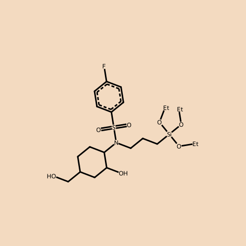 CCO[Si](CCCN(C1CCC(CO)CC1O)S(=O)(=O)c1ccc(F)cc1)(OCC)OCC